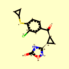 O=C(c1ccc(SC2CC2)c(Cl)c1)[C@H]1C[C@@H]1c1noc(=O)[nH]1